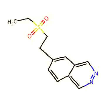 CCS(=O)(=O)CCc1ccc2cnncc2c1